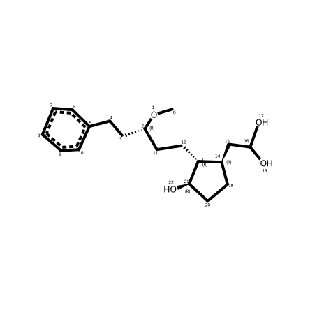 CO[C@@H](CCc1ccccc1)CC[C@@H]1[C@@H](CC(O)O)CC[C@H]1O